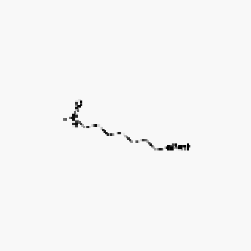 CCCCCCCCCCCC[PH](C)=O